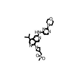 CC(C)c1cnc(N2CC(CS(C)(=O)=O)C2)c2cnc(Nc3ccnc(N4CCOCC4)n3)cc12